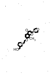 Cc1c(OCCN2CCCC(CO)C2)ccc2c(=O)cc(N3CCOCC3)oc12